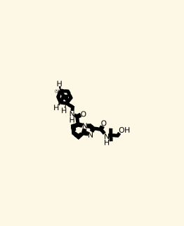 CC(C)(CO)NC(=O)c1cn2c(C(=O)NC[C@@H]3CC[C@H]4C[C@@H]3C4(C)C)cccc2n1